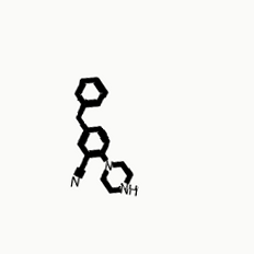 N#Cc1cc(Cc2ccccc2)ccc1N1CCNCC1